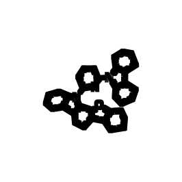 c1cc(-n2c3ccccc3c3ccccc32)nc(-n2c3ccccc3c3ccc4c5ccccc5oc4c32)c1